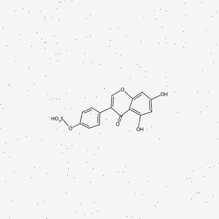 O=c1c(-c2ccc(OS(=O)(=O)O)cc2)coc2cc(O)cc(O)c12